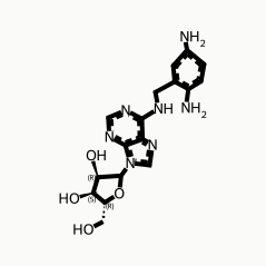 Nc1ccc(N)c(CNc2ncnc3c2ncn3C2O[C@H](CO)[C@@H](O)[C@H]2O)c1